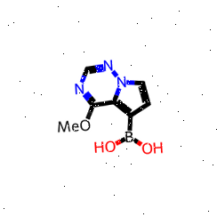 COc1ncnn2ccc(B(O)O)c12